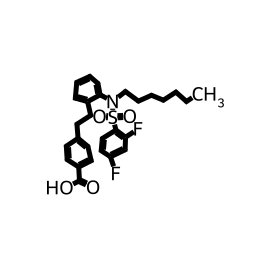 CCCCCCCN(c1ccccc1CCc1ccc(C(=O)O)cc1)S(=O)(=O)c1ccc(F)cc1F